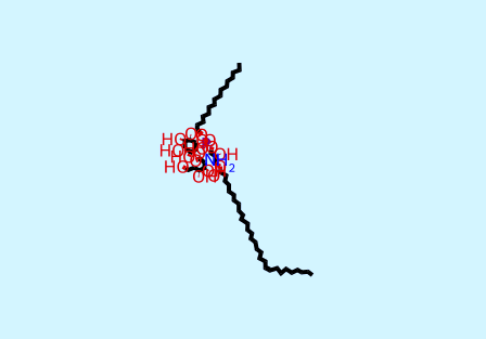 CCCCCCCC/C=C\CCCCCCCCCCCCCCCCCCCC(=O)OC[C@@H](O)COP(=O)(O)OC1[C@H](O[C@H]2OC(CO)[C@@H](O)[C@H](O)C2N)C(O)C(O)[C@@H](O)[C@@H]1OC(=O)CCCCCCCCCCCCCCC